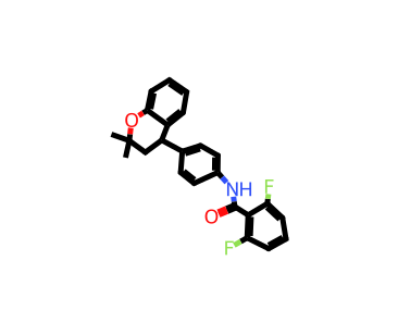 CC1(C)CC(c2ccc(NC(=O)c3c(F)cccc3F)cc2)c2ccccc2O1